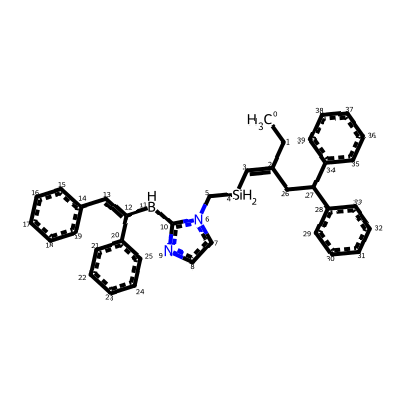 CCC(=C[SiH2]Cn1ccnc1BC(=Cc1ccccc1)c1ccccc1)CC(c1ccccc1)c1ccccc1